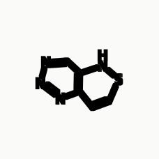 C1=Cc2nnncc2NS1